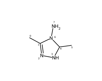 CC1=NNC(C)N1N